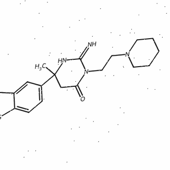 CC1(c2ccc3sccc3c2)CC(=O)N(CCN2CCCCC2)C(=N)N1